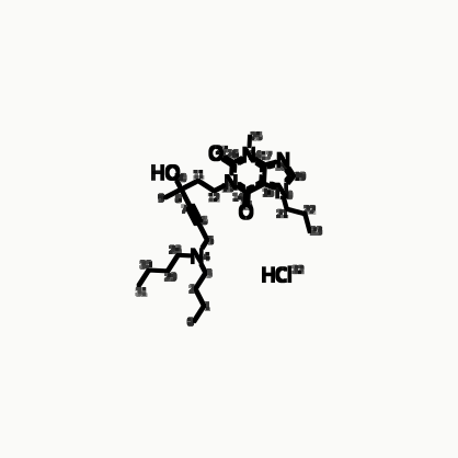 CCCCN(CC#CC(C)(O)CCn1c(=O)c2c(ncn2CCC)n(C)c1=O)CCCC.Cl